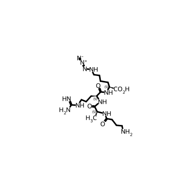 C[C@H](NC(=O)CCCN)C(=O)N[C@@H](CCCNC(=N)N)C(=O)N[C@@H](CCCCNN=[N+]=[N-])C(=O)O